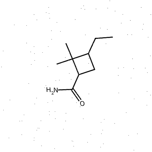 CCC1CC(C(N)=O)C1(C)C